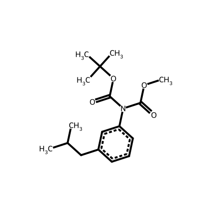 COC(=O)N(C(=O)OC(C)(C)C)c1cccc(CC(C)C)c1